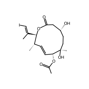 CC(=O)O[C@@H]1/C=C/[C@H](C)[C@@H](/C(C)=C/I)OC(=O)C[C@H](O)CC[C@@]1(C)O